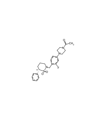 CC(=O)N1CCN(c2ccc(CN3CCC[C@@H](c4ccccc4)S3(=O)=O)c(F)c2)CC1